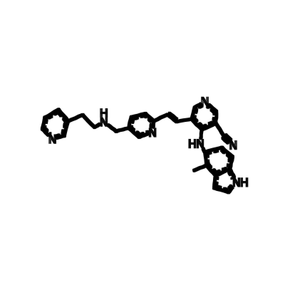 Cc1c(Nc2c(C#N)cncc2C=Cc2ccc(CNCCc3cccnc3)cn2)ccc2[nH]ccc12